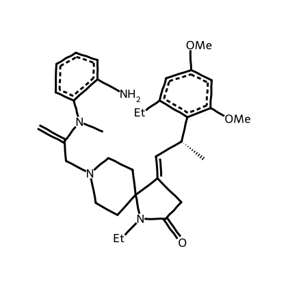 C=C(CN1CCC2(CC1)/C(=C/[C@@H](C)c1c(CC)cc(OC)cc1OC)CC(=O)N2CC)N(C)c1ccccc1N